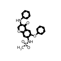 CS(=O)(=O)Nc1cc2occ(Nc3ccccc3)c(=O)c2cc1Oc1ccccc1